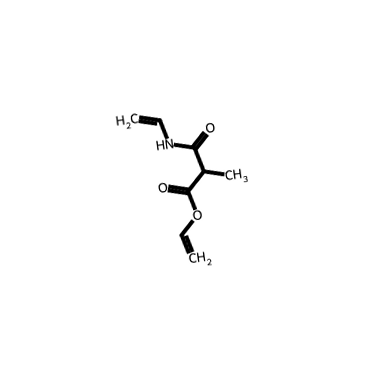 C=CNC(=O)C(C)C(=O)OC=C